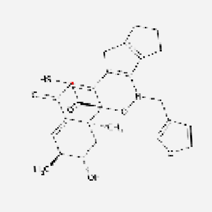 C[C@H]1C=C2C(=O)C=C3C4=C(C5=C(CCC5)C4)N(Cc4ccoc4)O[C@]3(C(=O)CS)[C@@]2(C)C[C@@H]1O